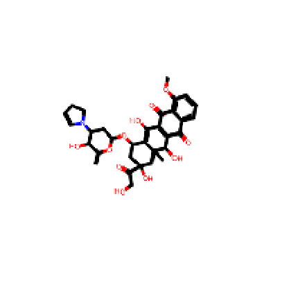 COc1cccc2c1C(=O)C1=C(C2=O)C(O)C2(C)CC(O)(C(=O)CO)CC(OC3CC(N4C=CCC4)C(O)C(C)O3)C2=C1O